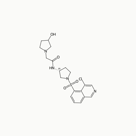 O=C(CN1CCC(O)C1)N[C@@H]1CCN(S(=O)(=O)c2cccc3cncc(Cl)c23)C1